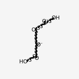 O=C(CSCSCC[S+]([O-])CCSCCO)SCCSCSCC[S+]([O-])CCSCSCC(=O)SCCSCCO